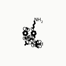 CC(C)CN(C[C@@H](O)[C@H](Cc1ccc(OCCCCN)cc1)N(C(=O)O)[C@H]1CO[C@H]2OCC[C@H]21)S(=O)(=O)c1ccc2c(c1)OCO2